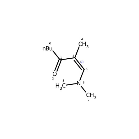 CCCCC(=O)/C(C)=C\N(C)C